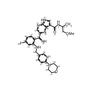 COCC(C)NC(=O)c1c[nH]c2ncc(C(=N)c3ccc(F)cc3NCc3ccc(N4CCOCC4)nc3)nc12